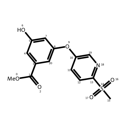 COC(=O)c1cc(O)cc(Oc2ccc(S(C)(=O)=O)nc2)c1